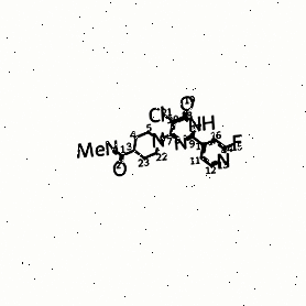 CNC(=O)C1CCN(c2nc(-c3ccnc(F)c3)[nH]c(=O)c2Cl)CC1